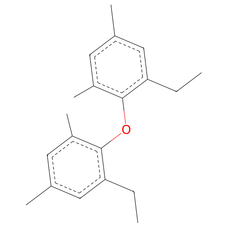 CCc1cc(C)cc(C)c1Oc1c(C)cc(C)cc1CC